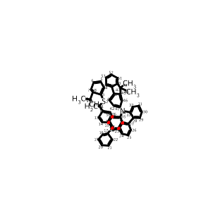 C=C(Sc1ccccc1C(=C)C)c1ccc(N(c2ccccc2)c2cccc(-c3ccccc3N(c3ccccc3)c3ccc4c(c3)C(C)(C)c3ccccc3-4)c2)cc1